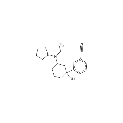 CCN(C1CCCC(O)(c2cccc(C#N)c2)C1)N1CCCC1